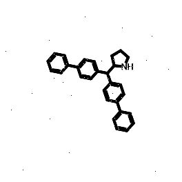 c1ccc(-c2ccc(C(c3ccc(-c4ccccc4)cc3)C3CCCN3)cc2)cc1